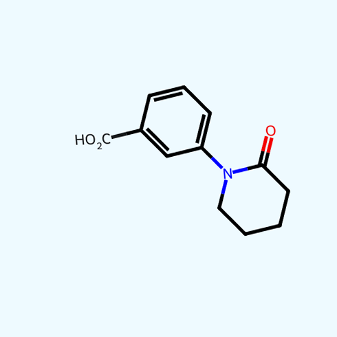 O=C(O)c1cccc(N2CCCCC2=O)c1